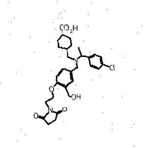 CC(c1ccc(Cl)cc1)N(Cc1ccc(OCCN2C(=O)CCC2=O)c(CO)c1)C[C@H]1CC[C@H](C(=O)O)CC1